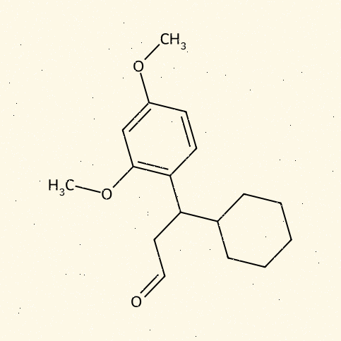 COc1ccc(C(CC=O)C2CCCCC2)c(OC)c1